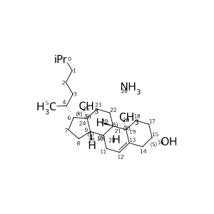 CC(C)CCCC(C)[C@H]1CC[C@H]2[C@@H]3CC=C4C[C@@H](O)CC[C@]4(C)[C@H]3CC[C@]12C.N